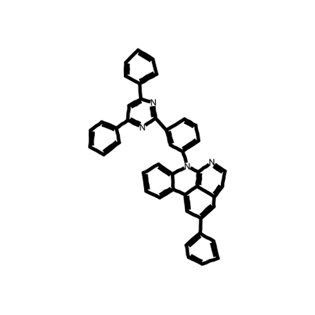 c1ccc(-c2cc3c4c(nccc4c2)N(c2cccc(-c4nc(-c5ccccc5)cc(-c5ccccc5)n4)c2)c2ccccc2-3)cc1